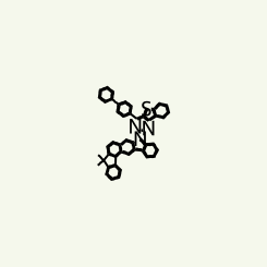 CC1(C)c2ccccc2-c2c1ccc1cc3c(cc21)c1ccccc1n3-c1nc(-c2ccc(-c3ccccc3)cc2)c2sc3ccccc3c2n1